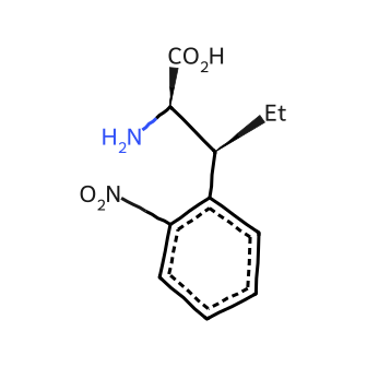 CC[C@@H](c1ccccc1[N+](=O)[O-])[C@@H](N)C(=O)O